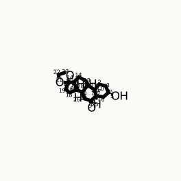 C[C@]12CC[C@H](O)C[C@@H]1C(=O)C[C@@H]1[C@@H]2CC[C@@]2(C)[C@H]1CCC21OCCO1